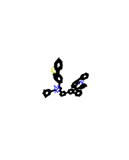 c1ccc(-c2nc(-c3cccc(-c4ccc5c(c4)-c4ccccc4C54c5ccccc5-n5c6ccccc6c6cccc4c65)c3)cc(-c3ccc4c(c3)sc3ccccc34)n2)cc1